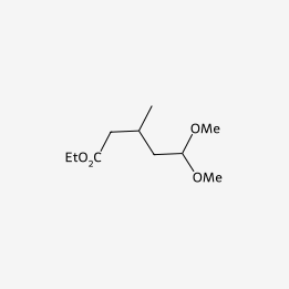 CCOC(=O)CC(C)CC(OC)OC